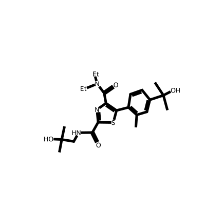 CCN(CC)C(=O)c1nc(C(=O)NCC(C)(C)O)sc1-c1ccc(C(C)(C)O)cc1C